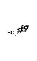 O=C(O)c1ccc(Oc2ccccc2)c(Cl)c1